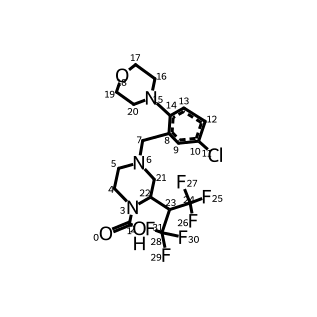 O=C(O)N1CCN(Cc2cc(Cl)ccc2N2CCOCC2)CC1C(C(F)(F)F)C(F)(F)F